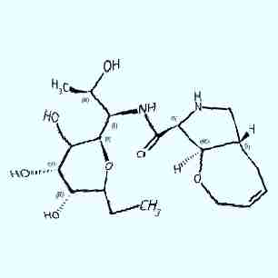 CCC1O[C@H]([C@H](NC(=O)[C@H]2NC[C@@H]3CC=CCO[C@H]32)[C@@H](C)O)C(O)[C@@H](O)[C@H]1O